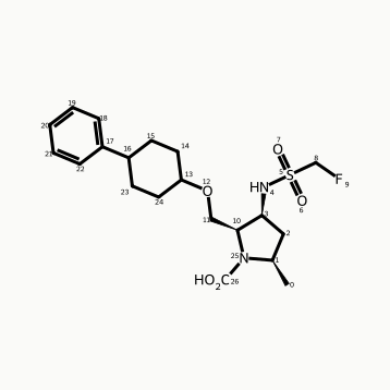 C[C@@H]1C[C@H](NS(=O)(=O)CF)[C@H](COC2CCC(c3ccccc3)CC2)N1C(=O)O